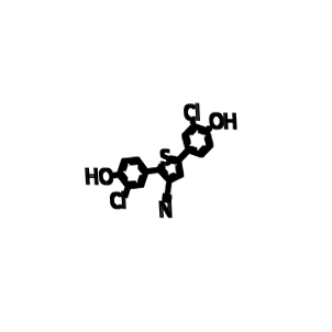 N#Cc1cc(-c2ccc(O)c(Cl)c2)sc1-c1ccc(O)c(Cl)c1